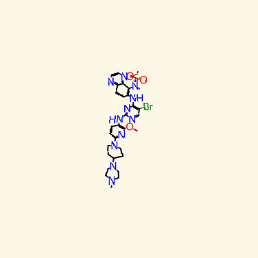 COc1nc(N2CCC(N3CCN(C)CC3)CC2)ccc1Nc1ncc(Br)c(Nc2ccc3nccnc3c2N(C)S(C)(=O)=O)n1